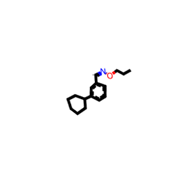 CCCO/N=[C]\c1cccc(C2CCCCC2)c1